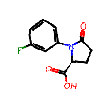 O=C(O)[C@@H]1CCC(=O)N1c1cccc(F)c1